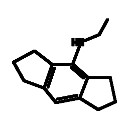 CCNc1c2c(cc3c1CCC3)CCC2